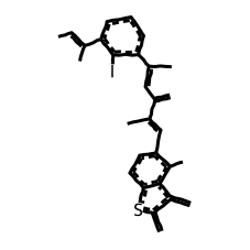 C=C(/C=C(\C)c1cccc(/C(C)=C/C)c1I)/C(C)=C/c1ccc2sc(=C)c(=C)c2c1C